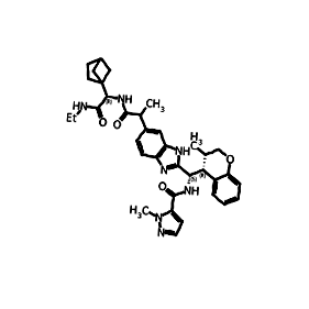 CCNC(=O)[C@H](NC(=O)C(C)c1ccc2nc([C@@H](NC(=O)c3ccnn3C)[C@H]3c4ccccc4OCC3C)[nH]c2c1)C12CCC(C1)C2